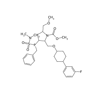 COCC1CC(P(Cc2ccccc2)S(=O)(=O)N(C)C)C(COC2CCC(c3cccc(F)c3)CC2)N1C(=O)OC